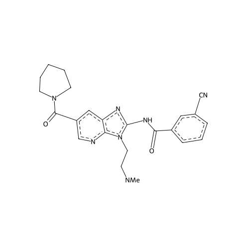 CNCCn1c(NC(=O)c2cccc(C#N)c2)nc2cc(C(=O)N3CCCCC3)cnc21